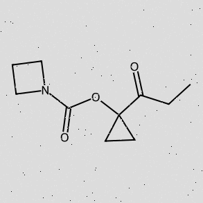 CCC(=O)C1(OC(=O)N2CCC2)CC1